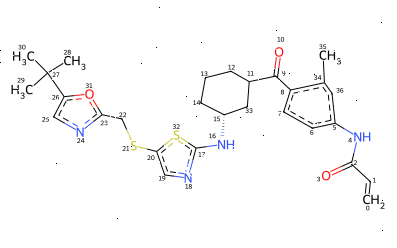 C=CC(=O)Nc1ccc(C(=O)C2CCC[C@@H](Nc3ncc(SCc4ncc(C(C)(C)C)o4)s3)C2)c(C)c1